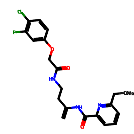 C=C(CCNC(=O)COc1ccc(Cl)c(F)c1)NC(=O)c1cccc(COC)n1